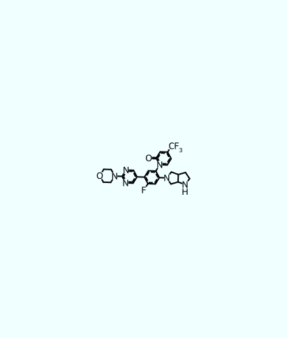 O=c1cc(C(F)(F)F)ccn1-c1cc(-c2cnc(N3CCOCC3)nc2)c(F)cc1N1CC2CCNC2C1